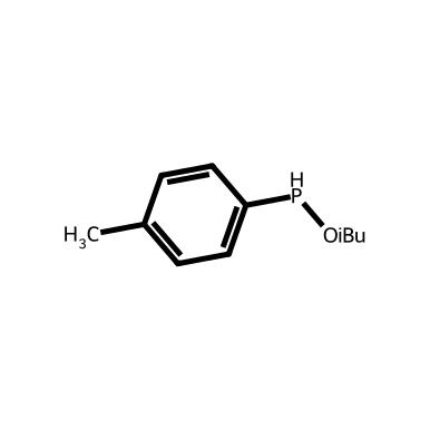 Cc1ccc(POCC(C)C)cc1